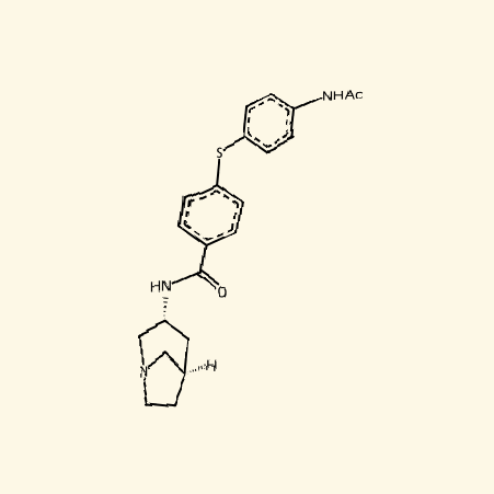 CC(=O)Nc1ccc(Sc2ccc(C(=O)N[C@@H]3C[C@H]4CCN(C4)C3)cc2)cc1